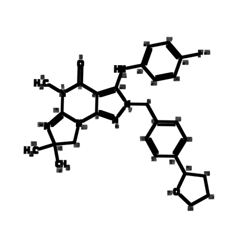 CN1C(=O)c2c(nn(Cc3ccc(C4CCCO4)cc3)c2Nc2ccc(F)cc2)N2CC(C)(C)N=C12